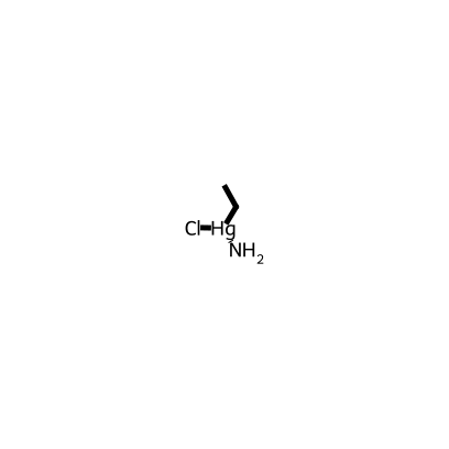 C[CH2][Hg]([NH2])[Cl]